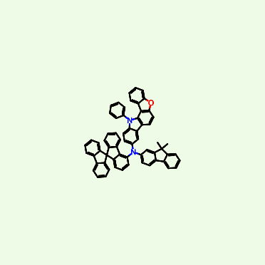 CC1(C)c2ccccc2-c2ccc(N(c3ccc4c(c3)c3ccc5oc6ccccc6c5c3n4-c3ccccc3)c3cccc4c3-c3ccccc3C43c4ccccc4-c4ccccc43)cc21